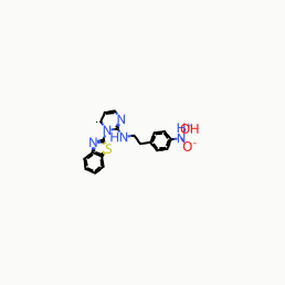 [O-][NH+](O)c1ccc(CCNC2=NC=C[CH]N2c2nc3ccccc3s2)cc1